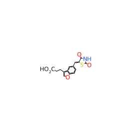 O=C(O)CCc1coc2ccc(/C=C3\SC(=O)NC3=O)cc12